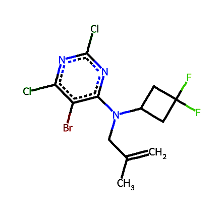 C=C(C)CN(c1nc(Cl)nc(Cl)c1Br)C1CC(F)(F)C1